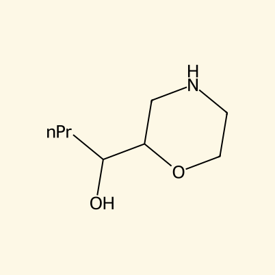 CCCC(O)C1CNCCO1